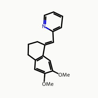 COc1cc2c(cc1OC)/C(=C/c1ccccn1)CCC2